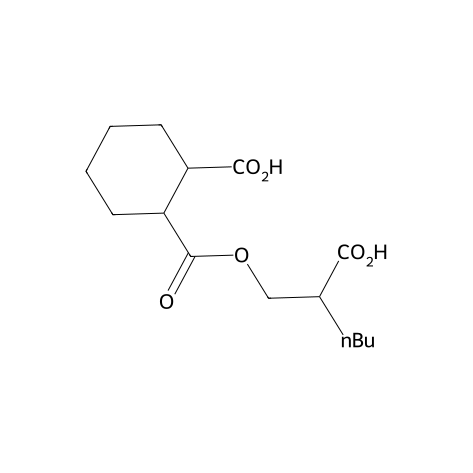 CCCCC(COC(=O)C1CCCCC1C(=O)O)C(=O)O